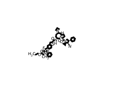 CCCOC(=O)[C@H](C)NP(=O)(Oc1ccccc1)[C@H](F)c1ccc2sc(C(=O)N[C@H]3CC[C@H](N4CCC4)C[C@H]4CC[C@@H](C(=O)N5C[C@H](c6ccccc6)[C@@H](C#N)C56CC6)N4C3=O)cc2c1